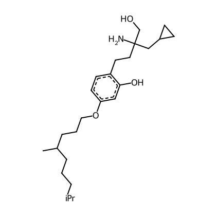 CC(C)CCCC(C)CCCOc1ccc(CCC(N)(CO)CC2CC2)c(O)c1